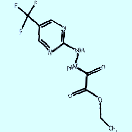 CCOC(=O)C(=O)NNc1ncc(C(F)(F)F)cn1